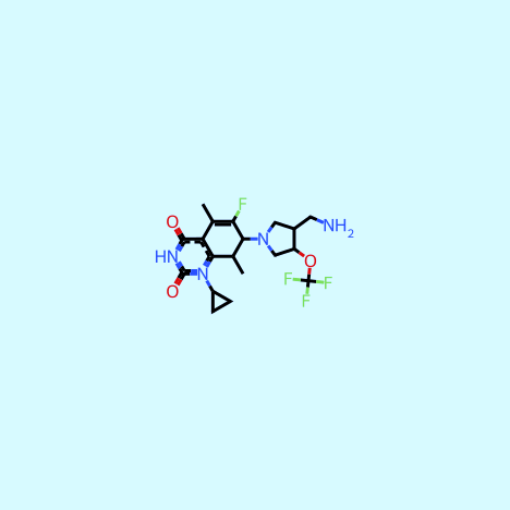 CC1=C(F)C(N2CC(CN)C(OC(F)(F)F)C2)C(C)c2c1c(=O)[nH]c(=O)n2C1CC1